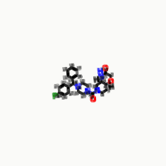 O=C1CO[C@H]2CCN(C(=O)N3CCN([C@H](c4ccccc4)c4ccc(F)cc4)CC3)C[C@H]2N1